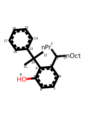 CCCCCCCCC(CCC)c1cccc(O)c1C(C)(C)c1ccccc1